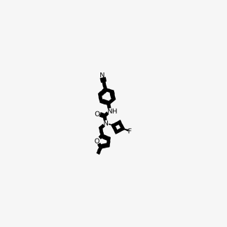 Cc1ccc(CN(C(=O)Nc2ccc(C#N)cc2)[C@H]2C[C@H](F)C2)o1